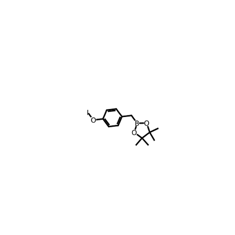 CC1(C)OB(Cc2ccc(OI)cc2)OC1(C)C